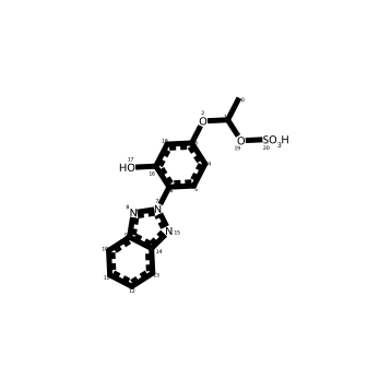 CC(Oc1ccc(-n2nc3ccccc3n2)c(O)c1)OS(=O)(=O)O